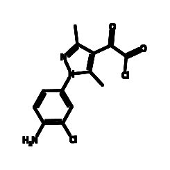 Cc1nn(-c2ccc(N)c(Cl)c2)c(C)c1C(=O)C(=O)Cl